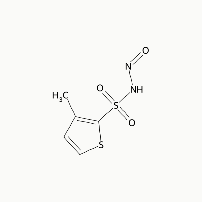 Cc1ccsc1S(=O)(=O)NN=O